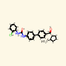 O=C(Nc1ccc(-c2ccc(C(=O)[C@@H]3CCC[C@H]3C(=O)O)cc2)cc1)Nc1ccccc1Cl